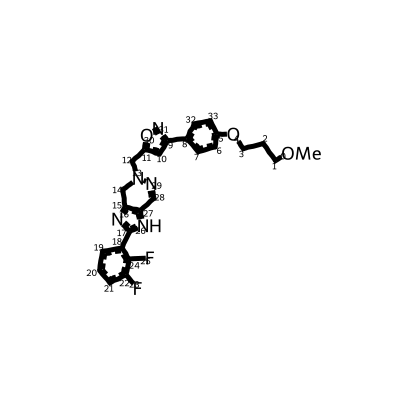 COCCCOc1ccc(-c2cc(CN3Cc4nc(-c5cccc(F)c5F)[nH]c4C=N3)on2)cc1